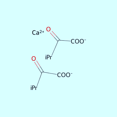 CC(C)C(=O)C(=O)[O-].CC(C)C(=O)C(=O)[O-].[Ca+2]